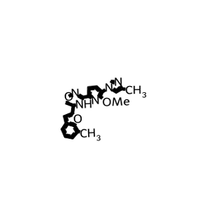 COc1nc(C2=NOCC(c3cc4cccc(C)c4o3)N2)ccc1-n1cnc(C)c1